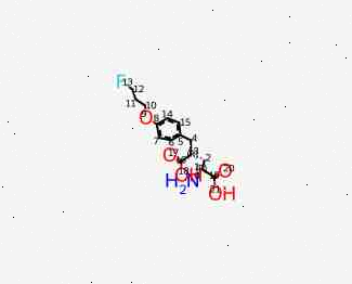 N[C@H](C[C@@H](Cc1ccc(OCCCF)cc1)C(=O)O)C(=O)O